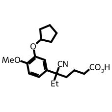 CCC(C#N)(CCCC(=O)O)c1ccc(OC)c(OC2CCCC2)c1